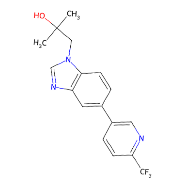 CC(C)(O)Cn1cnc2cc(-c3ccc(C(F)(F)F)nc3)ccc21